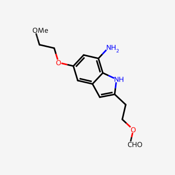 COCCOc1cc(N)c2[nH]c(CCOC=O)cc2c1